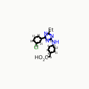 CCc1nc(Nc2ccc(CC(=O)O)cc2)nc(-c2cccc(Cl)c2)n1